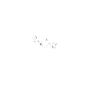 CC1C(O)CO[C@@H]2C[C@H](n3cnc4c(N)ncnc43)OC2COP(=O)(O)OC(C(O)n2cnc3c(=O)[nH]c(N)nc32)C1F